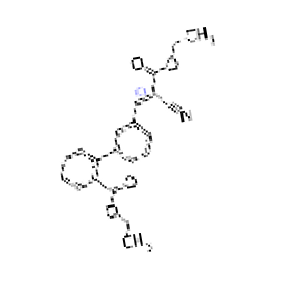 CCOC(=O)/C(C#N)=C/c1cccc(-c2ccccc2C(=O)OCC)c1